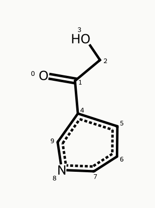 O=C(CO)c1cccnc1